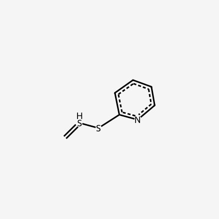 C=[SH]Sc1ccccn1